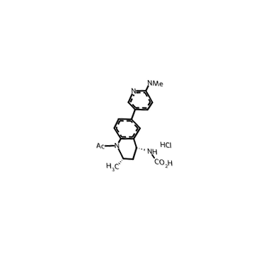 CNc1ccc(-c2ccc3c(c2)[C@H](NC(=O)O)C[C@H](C)N3C(C)=O)cn1.Cl